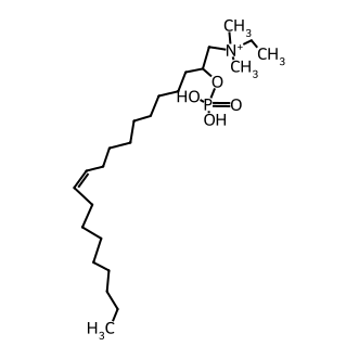 CCCCCCCC/C=C\CCCCCCCCC(C[N+](C)(C)CC)OP(=O)(O)O